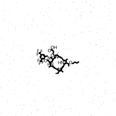 CCCCOC(C)c1c(C)c2cc3nc(c4c5[nH]c(cc6nc(cc1[nH]2)C(C)=C6CC)c(C)c5C(=O)N(Cc1cc(C(F)(F)F)cc(C(F)(F)F)c1)C4=O)[C@@H](CCC(=O)O)[C@@H]3C